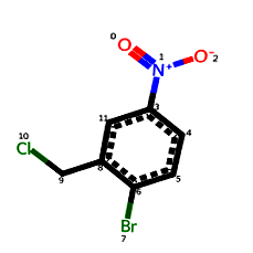 O=[N+]([O-])c1ccc(Br)c(CCl)c1